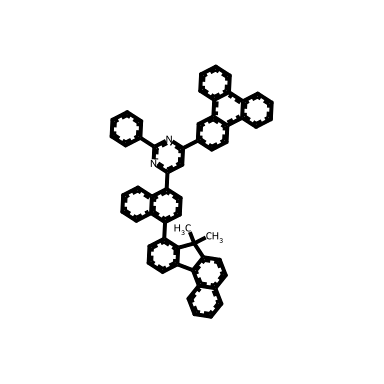 CC1(C)c2ccc3ccccc3c2-c2cccc(-c3ccc(-c4cc(-c5ccc6c7ccccc7c7ccccc7c6c5)nc(-c5ccccc5)n4)c4ccccc34)c21